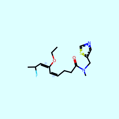 CCOC(/C=C\CCC(=O)N(C)Cc1cncs1)=C/C(C)F